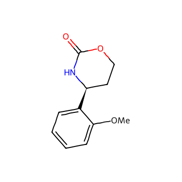 COc1ccccc1[C@@H]1CCOC(=O)N1